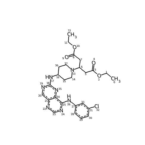 CCOC(=O)CC(CC(=O)OCC)N1CCC(Nc2ncc3ncnc(Nc4cccc(Cl)c4)c3n2)CC1